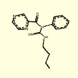 CCCCNC(=N)N(C(=O)c1cnccn1)c1ccccc1